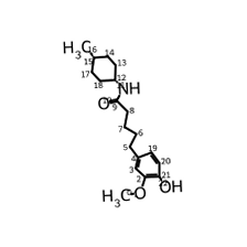 COc1cc(CCCCC(=O)N[C@H]2CC[C@H](C)CC2)ccc1O